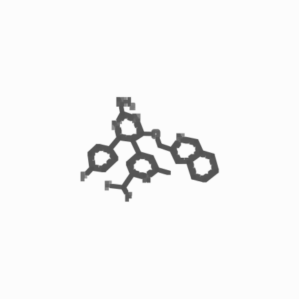 Cc1cc(-c2c(OCc3cc4ccccc4cn3)nc(N)nc2-c2ccc(F)cc2)cc(C(F)F)n1